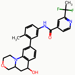 Cc1ccc(NC(=O)c2ccnc(C(C)(F)F)c2)cc1-c1ccc2c(c1)N1CCOCC1CC2O